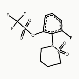 O=S1(=O)CCCCN1c1c(F)cccc1OS(=O)(=O)C(F)(F)F